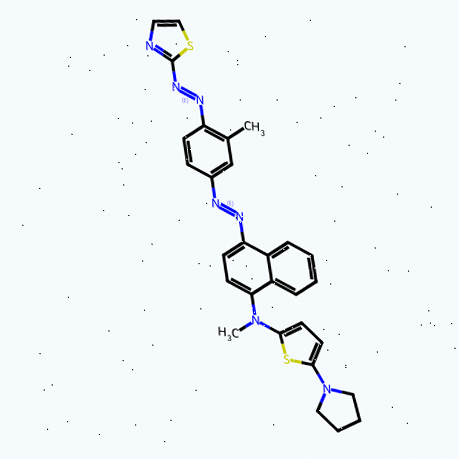 Cc1cc(/N=N/c2ccc(N(C)c3ccc(N4CCCC4)s3)c3ccccc23)ccc1/N=N/c1nccs1